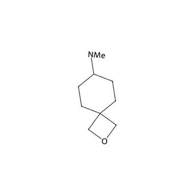 CNC1CCC2(CC1)COC2